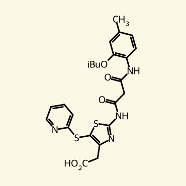 Cc1ccc(NC(=O)CC(=O)Nc2nc(CC(=O)O)c(Sc3ccccn3)s2)c(OCC(C)C)c1